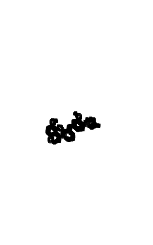 COC1=CC2C(C=C1)OCC[C@@H]2N1CCC/C(=C\c2ccc(-n3cnc(C)c3)c(OC)c2)C1=O